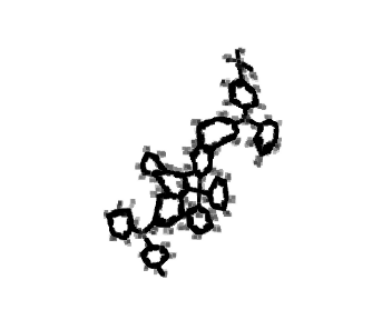 Cc1ccc(N(c2ccccc2)c2ccc3c4c(c5ccccc5c3c2)-c2cc3ccc(N(c5ccccc5)c5ccc([Si](C)(C)C)cc5)cc3cc2C4(c2ccccc2)c2ccccc2)cc1